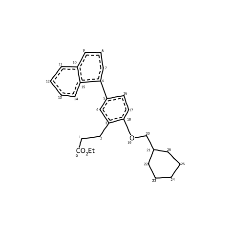 CCOC(=O)CCc1cc(-c2cccc3ccccc23)ccc1OCC1CCCCC1